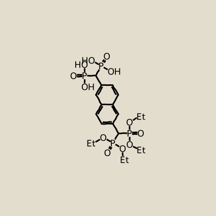 CCOP(=O)(OCC)C(c1ccc2cc(C(P(=O)(O)O)P(=O)(O)O)ccc2c1)P(=O)(OCC)OCC